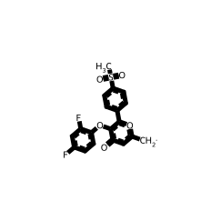 [CH2]c1cc(=O)c(Oc2ccc(F)cc2F)c(-c2ccc(S(C)(=O)=O)cc2)o1